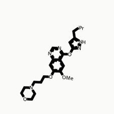 COc1cc2c(Oc3cc(CC(C)C)[nH]n3)ncnc2cc1OCCCN1CCOCC1